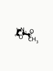 CC(=O)c1n[c]co1